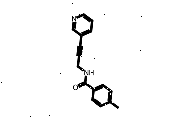 Cc1ccc(C(=O)NCC#Cc2cccnc2)cc1